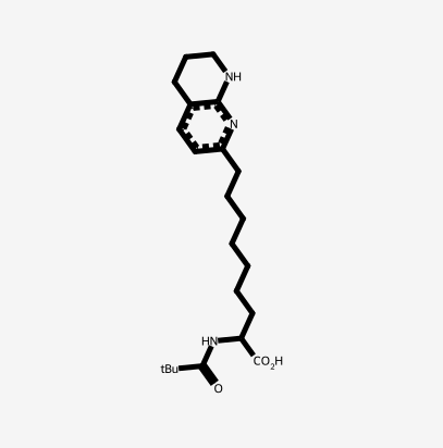 CC(C)(C)C(=O)NC(CCCCCCCc1ccc2c(n1)NCCC2)C(=O)O